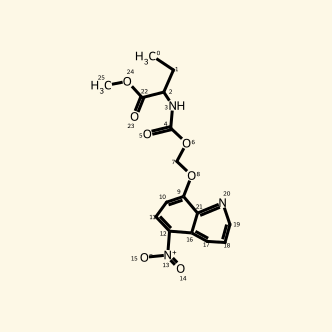 CCC(NC(=O)OCOc1ccc([N+](=O)[O-])c2cccnc12)C(=O)OC